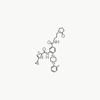 Cc1ccccc1N1CCN(c2ccc(C(=O)NCCCN3CCCC3=O)cc2NC(=O)c2nc(C3CC3)cs2)CC1